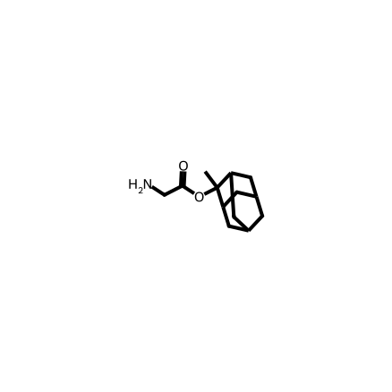 CC1(OC(=O)CN)C2CC3CC(C2)CC1C3